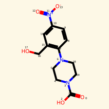 O=C(O)N1CCN(c2ccc([N+](=O)[O-])cc2CO)CC1